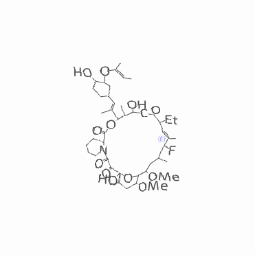 CC=C(C)OC1CC(C=C(C)C2OC(=O)C3CCCCN3C(=O)C(=O)C3(O)OC(C(OC)CC(C)C(F)/C(C)=C/C(CC)C(=O)CC(O)C2C)C(OC)CC3C)CCC1O